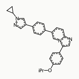 CC(C)Oc1ccc(-c2cnc3ccc(-c4ccc(-c5cnn(C6CC6)c5)cc4)cn23)cc1